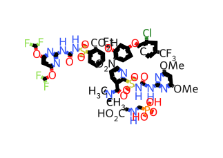 CCOc1cc(Oc2ccc(C(F)(F)F)cc2Cl)ccc1[N+](=O)[O-].COc1cc(OC)nc(NC(=O)NS(=O)(=O)c2ncccc2C(=O)N(C)C)n1.O=C(Nc1nc(OC(F)F)cc(OC(F)F)n1)NS(=O)(=O)c1ccccc1C(=O)O.O=C(O)CNCP(=O)(O)O